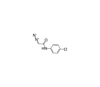 [N-]=[N+]=CC(=O)Nc1ccc(Cl)cc1